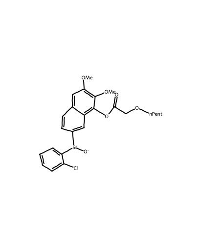 CCCCCOCC(=O)Oc1c(OC)c(OC)cc2ccc([S+]([O-])c3ccccc3Cl)cc12